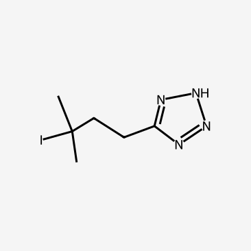 CC(C)(I)CCc1nn[nH]n1